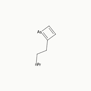 CCCCCC1=[As]C=C1